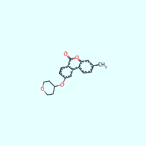 Cc1ccc2c(c1)oc(=O)c1ccc(OC3CCOCC3)cc12